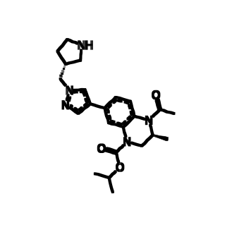 CC(=O)N1c2ccc(-c3cnn(C[C@@H]4CCNC4)c3)cc2N(C(=O)OC(C)C)C[C@@H]1C